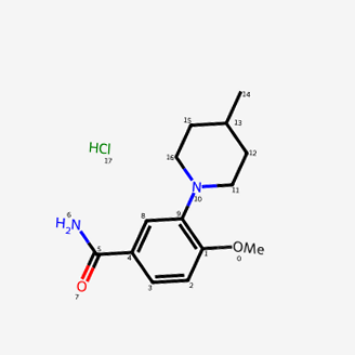 COc1ccc(C(N)=O)cc1N1CCC(C)CC1.Cl